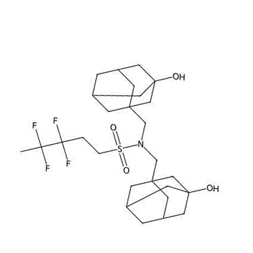 CC(F)(F)C(F)(F)CCS(=O)(=O)N(CC12CC3CC(CC(O)(C3)C1)C2)CC12CC3CC(CC(O)(C3)C1)C2